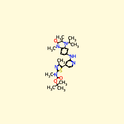 Cc1nc(N(C)C(=O)OC(C)(C)C)sc1-c1ccnc(Nc2ccc3c(c2)N(C(C)C)C(C)C(=O)N3C)c1